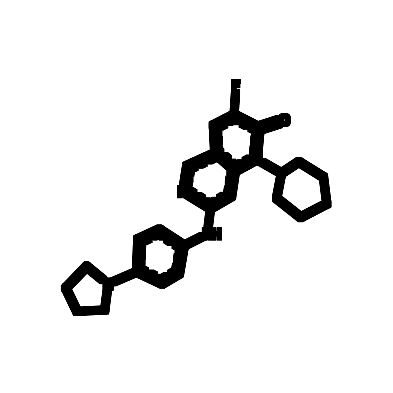 O=c1c(F)cc2cnc(Nc3ccc(N4CCCC4)cc3)cc2n1C1CCCCC1